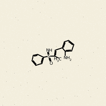 CC(=Cc1ccccc1N)S(=N)(=O)c1ccccc1